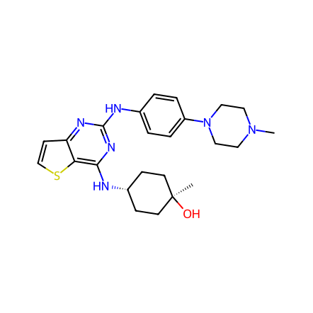 CN1CCN(c2ccc(Nc3nc(N[C@H]4CC[C@](C)(O)CC4)c4sccc4n3)cc2)CC1